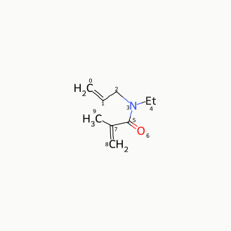 C=CCN(CC)C(=O)C(=C)C